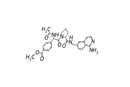 COC(=O)c1ccc(C(NC(C)=O)C(=O)N2CCC[C@H]2C(=O)NCc2ccc3c(N)nccc3c2)cc1